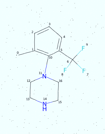 [CH2]c1cccc(C(F)(F)F)c1N1CCNCC1